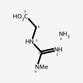 CNC(=N)NCC(=O)O.N